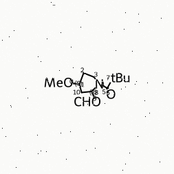 CO[C@H]1CCN(C(=O)C(C)(C)C)[C@@H](C=O)C1